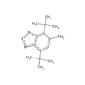 Cc1cc(C(C)(C)C)c2nsnc2c1C(C)(C)C